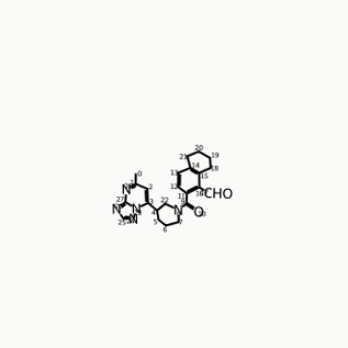 Cc1cc(C2CCCN(C(=O)c3ccc4c(c3C=O)CCCC4)C2)n2ncnc2n1